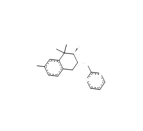 CC1(C)c2cc(O)ccc2C[C@@H](Sc2ncccn2)[C@@H]1N